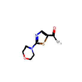 O=C(c1cnc(N2CCOCC2)s1)C(F)(F)F